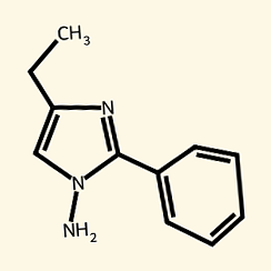 CCc1cn(N)c(-c2ccccc2)n1